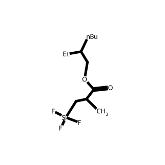 CCCCC(CC)COC(=O)C(C)C[Si](F)(F)F